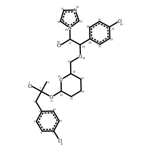 CC(Cl)(Cc1ccc(Cl)cc1)OC1CCCC(COC(c2ccc(Cl)cc2)C(Cl)n2ccnc2)O1